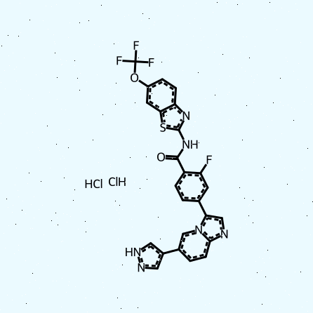 Cl.Cl.O=C(Nc1nc2ccc(OC(F)(F)F)cc2s1)c1ccc(-c2cnc3ccc(-c4cn[nH]c4)cn23)cc1F